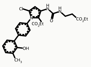 CCOC(=O)CCNC(=O)Nc1cc(Cl)n(-c2ccc(-c3cccc(C)c3O)cc2)c1C(=O)OCC